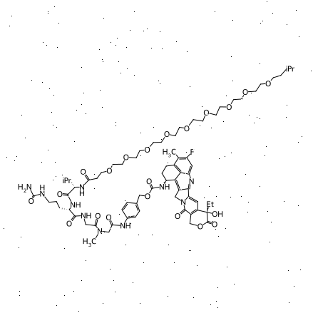 CC[C@@]1(O)C(=O)OCc2c1cc1n(c2=O)Cc2c-1nc1cc(F)c(C)c3c1c2[C@@H](NC(=O)OCc1ccc(NC(=O)CN(C)C(=O)CNC(=O)[C@H](CCCNC(N)=O)NC(=O)[C@@H](NC(=O)CCOCCOCCOCCOCCOCCOCCOCCOCCOCCC(C)C)C(C)C)cc1)CC3